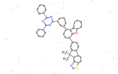 CC1(C)c2cc(-c3ccc(-c4cccc(-c5nc(-c6ccccc6)nc(-c6ccccc6)n5)c4)c4c3oc3ccccc34)ccc2-c2ccc3scnc3c21